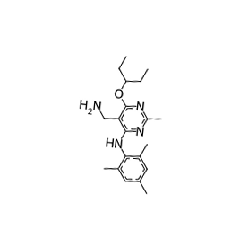 CCC(CC)Oc1nc(C)nc(Nc2c(C)cc(C)cc2C)c1CN